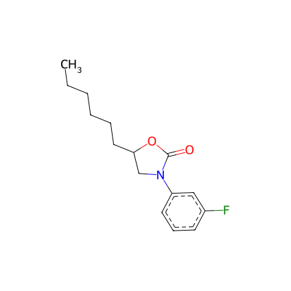 CCCCCCC1CN(c2cccc(F)c2)C(=O)O1